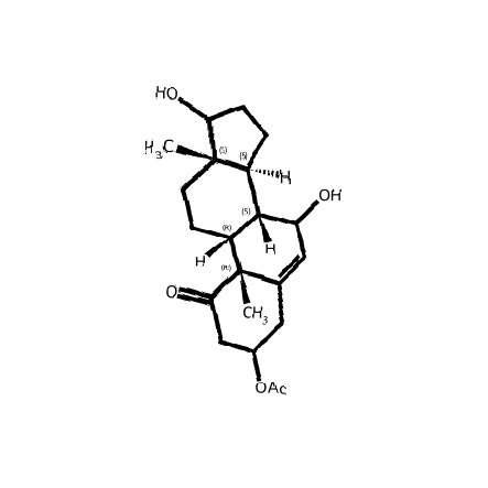 CC(=O)OC1CC(=O)[C@@]2(C)C(=CC(O)[C@@H]3[C@H]2CC[C@]2(C)C(O)CC[C@@H]32)C1